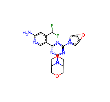 Nc1cc(C(F)F)c(-c2nc(N3C4COCC3COC4)nc(-n3cc4c(c3)O4)n2)cn1